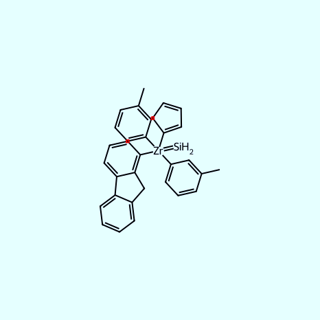 Cc1ccc[c]([Zr](=[SiH2])([C]2=CC=CC2)([c]2cccc(C)c2)[c]2cccc3c2Cc2ccccc2-3)c1